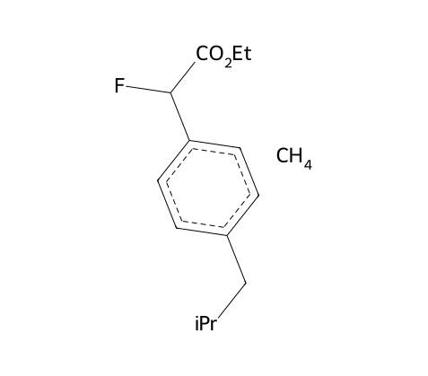 C.CCOC(=O)C(F)c1ccc(CC(C)C)cc1